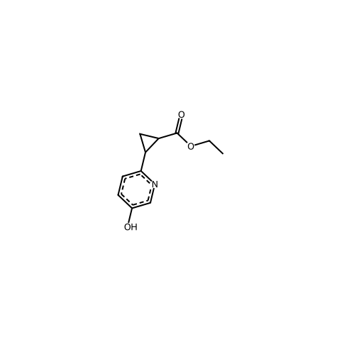 CCOC(=O)C1CC1c1ccc(O)cn1